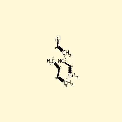 C=CC#N.C=CC=C.C=CCl